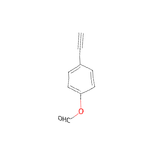 C#Cc1ccc(OC=O)cc1